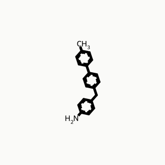 Cc1ccc(-c2ccc(Cc3ccc(N)cc3)cc2)cc1